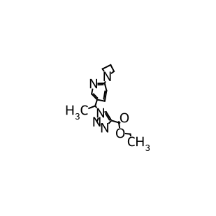 CCOC(=O)c1cn(C(C)c2ccc(N3CCC3)nc2)nn1